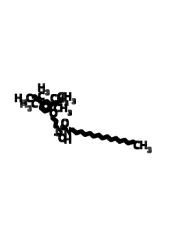 CCCCCCCCCCCCCCCCNC(=O)N([C]=O)CCCOc1ccc(C(C)(C)CC)cc1C(C)(C)CC